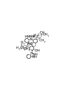 CC(C)(C)CC(C)(C)c1cc(Cc2cc(C(C)(C)CC(C)(C)C)cc(N3NNc4ccccc43)c2O)c(O)c(N2NNc3ccccc32)c1